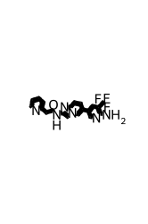 Nc1ncc(-c2ccc3nc(NC(=O)Cc4ccccn4)cn3c2)cc1C(F)(F)F